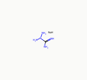 N=C(N)N(N)N.[NaH]